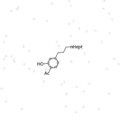 CCCCCCCCCCc1ccc(C(C)=O)c(O)c1